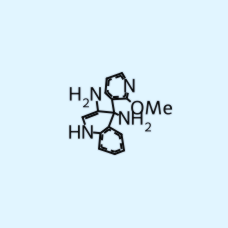 COc1ncccc1C1(N)C(N)=CNc2ccccc21